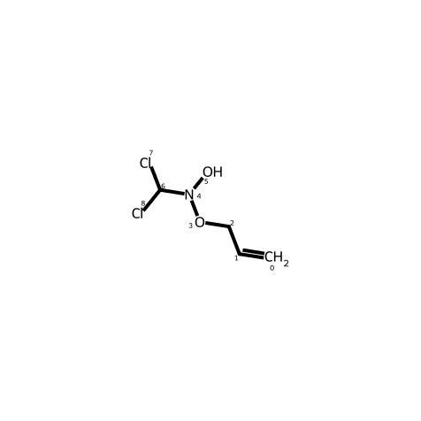 C=CCON(O)C(Cl)Cl